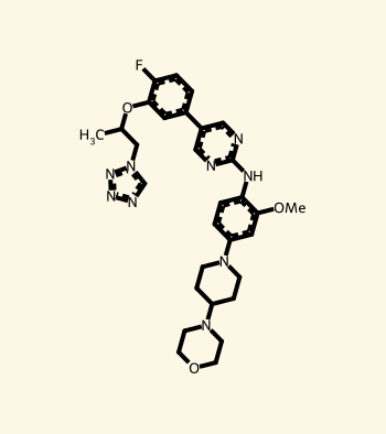 COc1cc(N2CCC(N3CCOCC3)CC2)ccc1Nc1ncc(-c2ccc(F)c(OC(C)Cn3cnnn3)c2)cn1